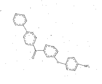 Nc1ccc(Oc2cccc(C(=O)c3ccc(-c4ccccc4)cc3)c2)cc1